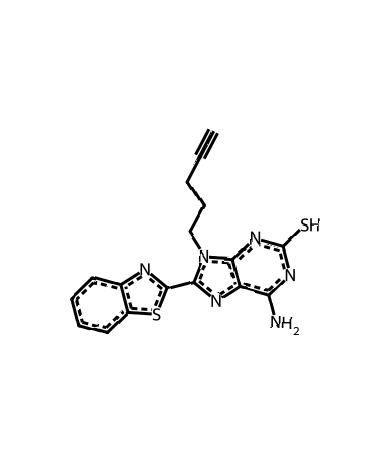 C#CCCCn1c(-c2nc3ccccc3s2)nc2c(N)nc(S)nc21